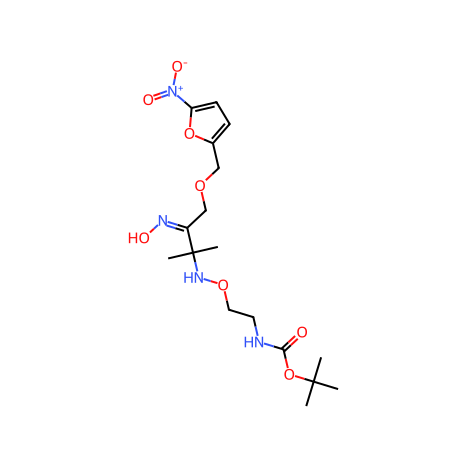 CC(C)(C)OC(=O)NCCONC(C)(C)C(COCc1ccc([N+](=O)[O-])o1)=NO